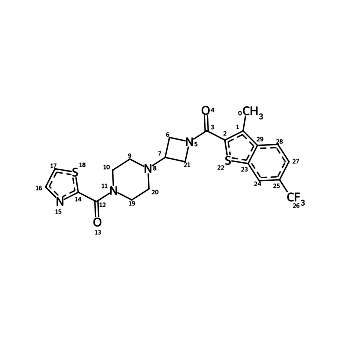 Cc1c(C(=O)N2CC(N3CCN(C(=O)c4nccs4)CC3)C2)sc2cc(C(F)(F)F)ccc12